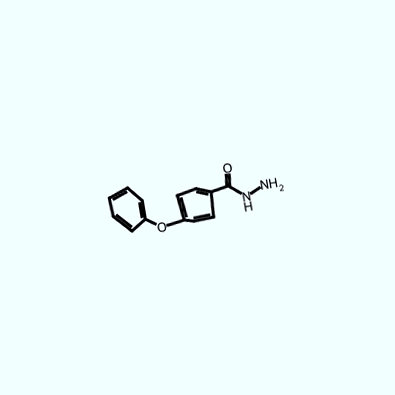 NNC(=O)c1ccc(Oc2ccccc2)cc1